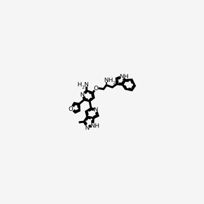 Cc1n[nH]c2cnc(-c3cc(OC[C@@H](N)Cc4c[nH]c5ccccc45)c(N)nc3-c3ccoc3)cc12